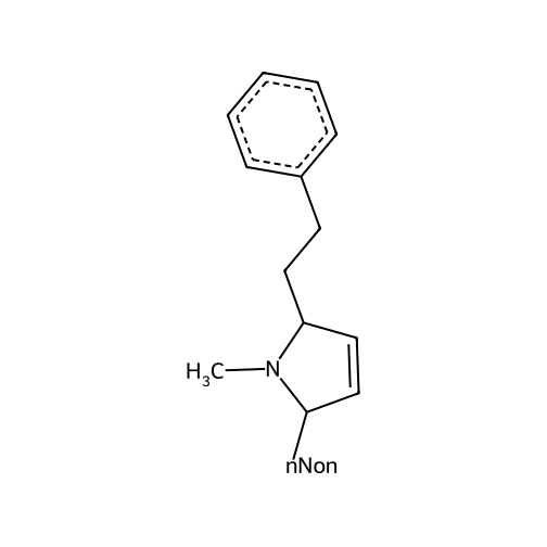 CCCCCCCCCC1C=CC(CCc2ccccc2)N1C